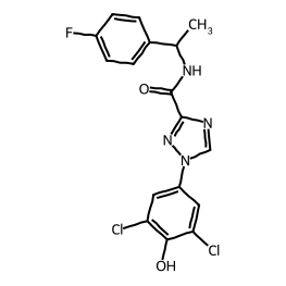 CC(NC(=O)c1ncn(-c2cc(Cl)c(O)c(Cl)c2)n1)c1ccc(F)cc1